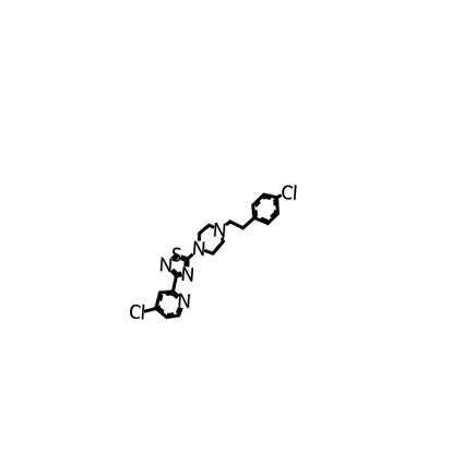 Clc1ccc(CCN2CCN(c3nc(-c4cc(Cl)ccn4)ns3)CC2)cc1